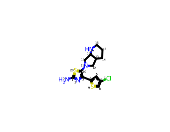 Nc1nc(-c2cc(Cl)cs2)c(N2CC3CCCNC3C2)s1